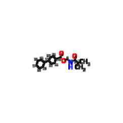 C=C(C)C(=O)NCOC(=O)c1ccc(-c2ccccc2)cc1